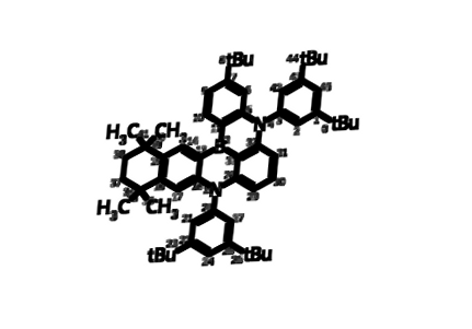 CC(C)(C)c1cc(N2c3cc(C(C)(C)C)ccc3B3c4cc5c(cc4N(c4cc(C(C)(C)C)cc(C(C)(C)C)c4)c4cccc2c43)C(C)(C)CCC5(C)C)cc(C(C)(C)C)c1